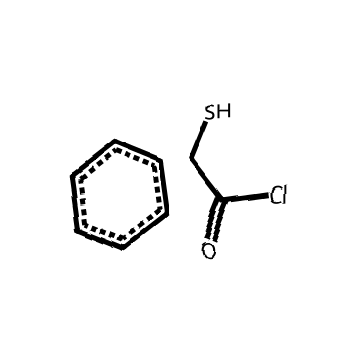 O=C(Cl)CS.c1ccccc1